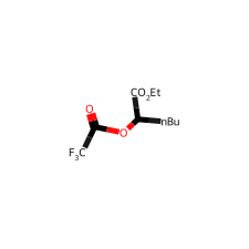 CCCCC(OC(=O)C(F)(F)F)C(=O)OCC